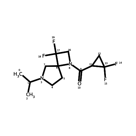 CC(C)N1CCC2(C1)N(C(=O)C1CC1(F)F)CC2(F)F